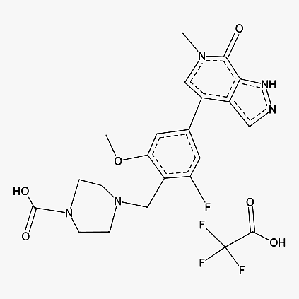 COc1cc(-c2cn(C)c(=O)c3[nH]ncc23)cc(F)c1CN1CCN(C(=O)O)CC1.O=C(O)C(F)(F)F